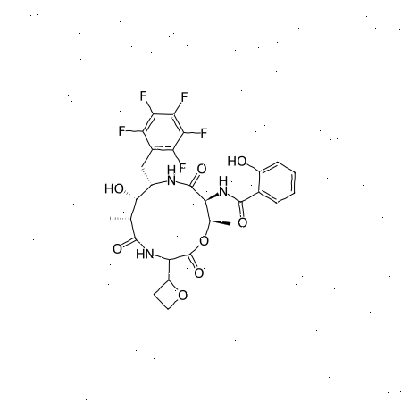 C[C@H]1OC(=O)C(C2CCO2)NC(=O)[C@H](C)[C@H](O)[C@H](Cc2c(F)c(F)c(F)c(F)c2F)NC(=O)[C@H]1NC(=O)c1ccccc1O